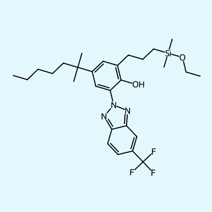 CCCCCC(C)(C)c1cc(CCC[Si](C)(C)OCC)c(O)c(-n2nc3ccc(C(F)(F)F)cc3n2)c1